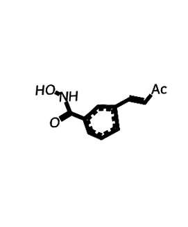 CC(=O)C=Cc1cccc(C(=O)NO)c1